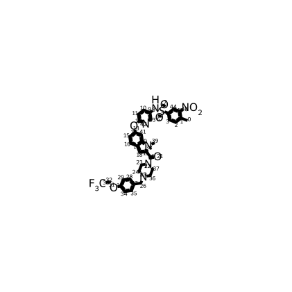 Cc1ccc(S(=O)(=O)Nc2ccc(Oc3ccc4cc(C(=O)N5CCN(Cc6ccc(OCC(F)(F)F)cc6)CC5)n(C)c4c3)nc2)cc1[N+](=O)[O-]